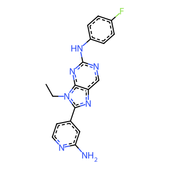 CCn1c(-c2ccnc(N)c2)nc2cnc(Nc3ccc(F)cc3)nc21